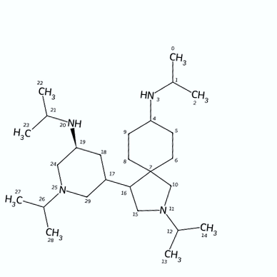 CC(C)NC1CCC2(CC1)CN(C(C)C)CC2C1C[C@H](NC(C)C)CN(C(C)C)C1